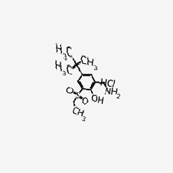 CCS(=O)(=O)c1cc(C(C)(C)C)cc(CN)c1O.Cl